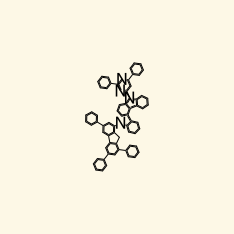 c1ccc(-c2cc(-c3ccccc3)c3c(c2)-c2cc(-c4ccccc4)cc(-n4c5ccccc5c5c6c7ccccc7n(-c7cc(-c8ccccc8)nc(-c8ccccc8)n7)c6ccc54)c2C3)cc1